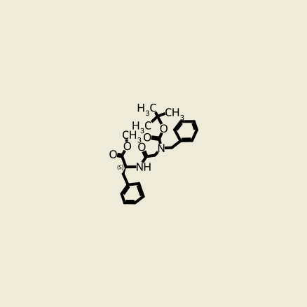 COC(=O)[C@H](Cc1ccccc1)NC(=O)CN(Cc1ccccc1)C(=O)OC(C)(C)C